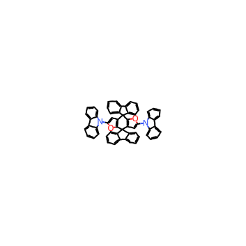 c1ccc2c(c1)-c1ccccc1C21c2cc(-n3c4ccccc4c4ccccc43)oc2C2(c3ccccc3-c3ccccc32)c2cc(-n3c4ccccc4c4ccccc43)oc21